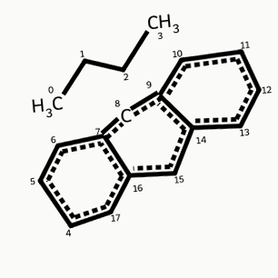 CCCC.c1ccc2cc3ccccc3cc2c1